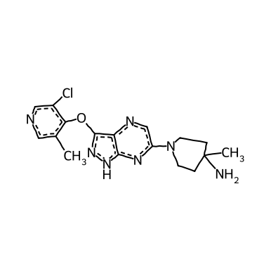 Cc1cncc(Cl)c1Oc1n[nH]c2nc(N3CCC(C)(N)CC3)cnc12